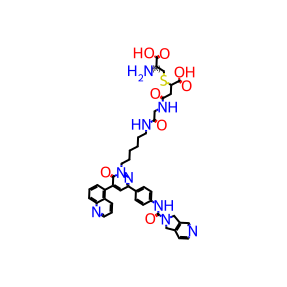 N[C@@H](CSC(CC(=O)NCC(=O)NCCCCCCn1nc(-c2ccc(NC(=O)N3Cc4ccncc4C3)cc2)cc(-c2cccc3ncccc23)c1=O)C(=O)O)C(=O)O